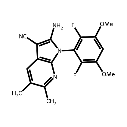 COc1cc(OC)c(F)c(-n2c(N)c(C#N)c3cc(C)c(C)nc32)c1F